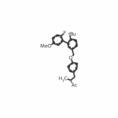 COc1ccc(F)c(-c2cc(COc3ccc(C[C@H](C)C(C)=O)cc3)ccc2C(C)(C)C)c1